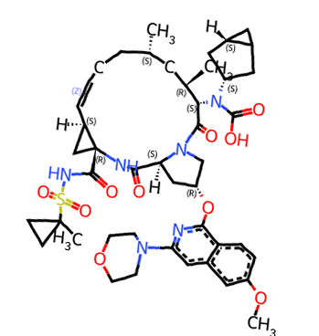 COc1ccc2c(O[C@@H]3C[C@H]4C(=O)N[C@]5(C(=O)NS(=O)(=O)C6(C)CC6)C[C@H]5/C=C\CC[C@H](C)C[C@@H](C)[C@H](N(C(=O)O)[C@H]5CC6C[C@H]6C5)C(=O)N4C3)nc(N3CCOCC3)cc2c1